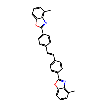 Cc1cccc2oc(-c3ccc(/C=C/c4ccc(-c5nc6c(C)cccc6o5)cc4)cc3)nc12